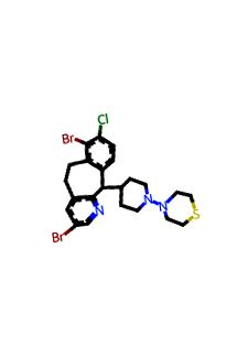 Clc1ccc2c(c1Br)CCc1cc(Br)cnc1C2C1CCN(N2CCSCC2)CC1